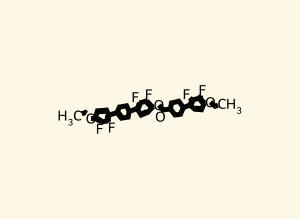 CCOc1ccc(C2=CCC(c3ccc(OC(=O)C4CCC(c5ccc(OCC)c(F)c5F)CC4)c(F)c3F)CC2)c(F)c1F